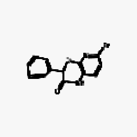 O=C1Nc2ccc(Br)nc2OC1c1ccccc1